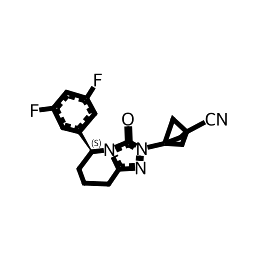 N#CC12CC(n3nc4n(c3=O)[C@H](c3cc(F)cc(F)c3)CCC4)(C1)C2